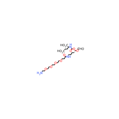 NCCOCCOCCOCCOCCC(=O)NCCCC[C@@H](OC=O)OC(=O)N[C@@H](CCC(=O)O)C(=O)O